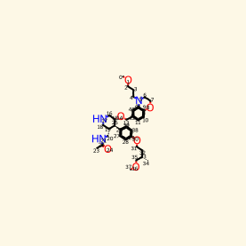 COCCCN1CCOc2ccc(CO[C@H]3CNC[C@@H](CNC(C)=O)[C@@H]3c3ccc(OCC[C@H](C)COC)cc3)cc21